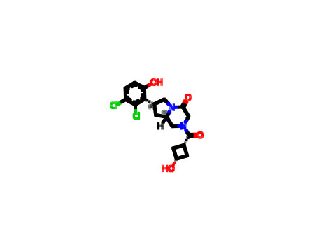 O=C1CN(C(=O)[C@H]2C[C@@H](O)C2)C[C@@H]2C[C@H](c3c(O)ccc(Cl)c3Cl)CN12